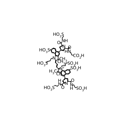 CC1(C)C(/C=C/C=C2/N(CCCS(=O)(=O)O)c3c(cc(-c4cc(C(=O)NCCC(=O)O)nc(C(=O)NCCS(=O)(=O)O)c4)c4ccc(S(=O)(=O)O)cc34)C2(C)C)=[N+](CCCS(=O)(=O)O)c2c1cc(-c1cc(C(=O)NCCS(=O)(=O)O)nc(C(=O)NCCS(=O)(=O)O)c1)c1ccc(S(=O)(=O)O)cc21